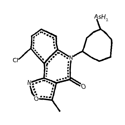 Cc1onc2c1c(=O)n(C1CCCC([AsH2])C1)c1cccc(Cl)c21